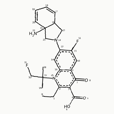 CCc1c(C(=O)O)c(=O)c2cc(F)c(N3CC4C=CC=CC4(N)C3)cc2n1C(C)(C)CF